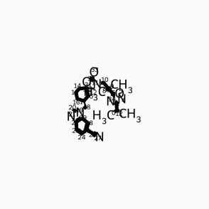 CC(C)c1noc(C(C)(C)CN2C[C@@]3(CCC[C@H](Cn4cnc5ccc(C#N)cc54)C3)OC2=O)n1